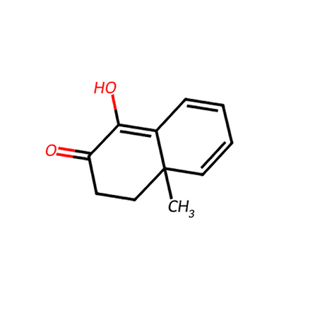 CC12C=CC=CC1=C(O)C(=O)CC2